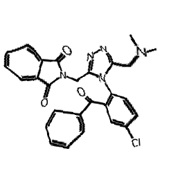 CN(C)Cc1nnc(CN2C(=O)c3ccccc3C2=O)n1-c1ccc(Cl)cc1C(=O)c1ccccc1